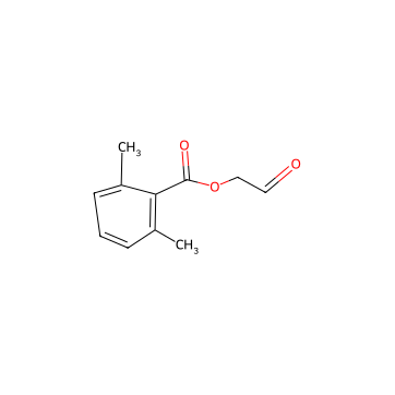 Cc1cccc(C)c1C(=O)OCC=O